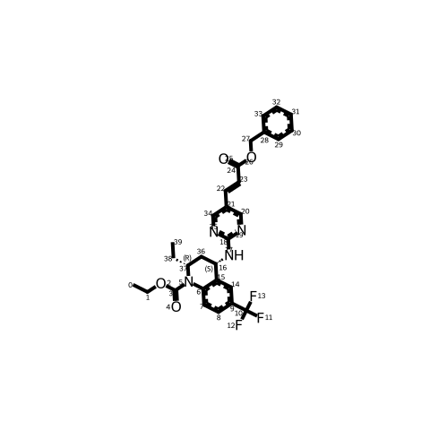 CCOC(=O)N1c2ccc(C(F)(F)F)cc2[C@@H](Nc2ncc(C=CC(=O)OCc3ccccc3)cn2)C[C@H]1CC